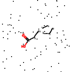 CC.CCC.CCC(=O)O